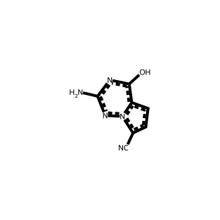 N#Cc1ccc2c(O)nc(N)nn12